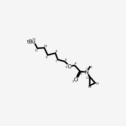 CN(C(=O)COCCCCCCC(C)(C)C)C1CC1